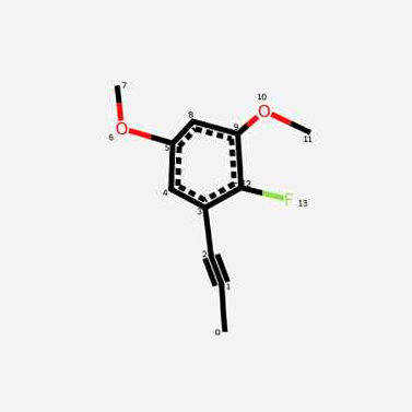 CC#Cc1cc(OC)cc(OC)c1F